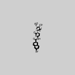 O=C(Nc1ccn([C@@H]2O[C@H](CO)[C@H](O)C2(F)F)c(=O)n1)c1ccc2cc(Br)ccc2c1